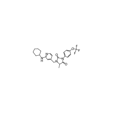 CC1C(=O)N(c2ccc(OC(F)(F)F)cc2)C(=O)N1Cc1ccnc(NC2CCCCC2)c1